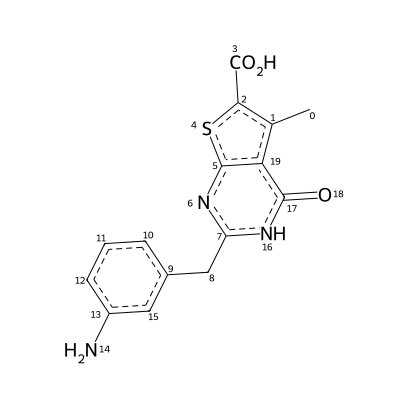 Cc1c(C(=O)O)sc2nc(Cc3cccc(N)c3)[nH]c(=O)c12